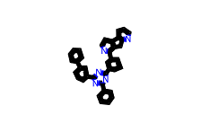 c1ccc(-c2cccc(-c3nc(-c4ccccc4)nc(-c4cccc(-c5nccc6c5Cc5ncccc5-6)c4)n3)c2)cc1